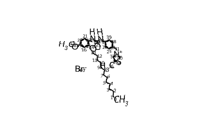 CCCCCCCCCCCCCCOc1cc(OC)ccc1NC(=O)Nc1ccc(C[n+]2csc(C)c2)cc1.[Br-]